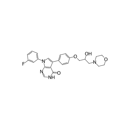 O=c1[nH]cnc2c1c(-c1ccc(OCC(O)CN3CCOCC3)cc1)cn2-c1cccc(F)c1